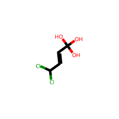 OC(O)(O)C=CC(Cl)Cl